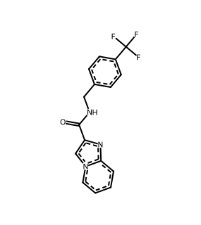 O=C(NCc1ccc(C(F)(F)F)cc1)c1cn2ccccc2n1